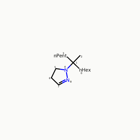 CCCCCCC(C)(CCCCC)N1CCC=N1